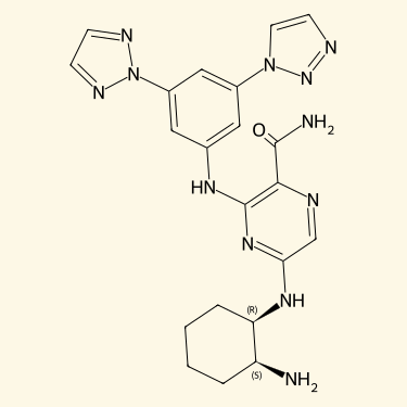 NC(=O)c1ncc(N[C@@H]2CCCC[C@@H]2N)nc1Nc1cc(-n2ccnn2)cc(-n2nccn2)c1